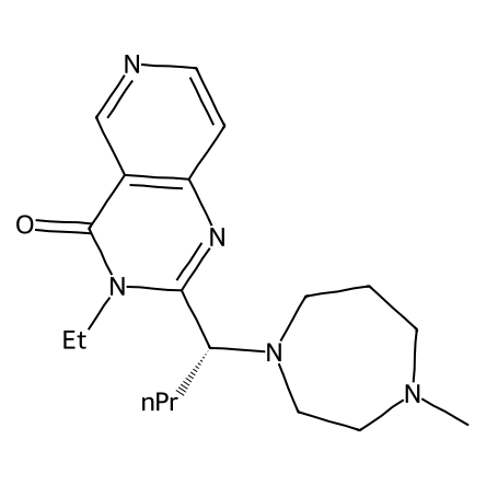 CCC[C@H](c1nc2ccncc2c(=O)n1CC)N1CCCN(C)CC1